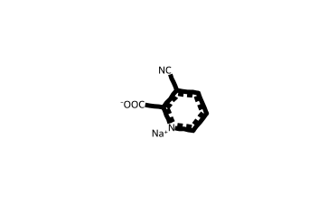 N#Cc1cccnc1C(=O)[O-].[Na+]